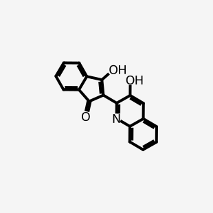 O=C1C(c2nc3ccccc3cc2O)=C(O)c2ccccc21